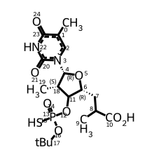 Cc1cn([C@@H]2O[C@H](CC(C)C(=O)O)C(OP(=O)(S)OC(C)(C)C)[C@@H]2C)c(=O)[nH]c1=O